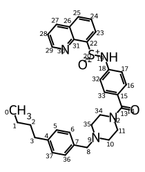 CCCCc1ccc(CN2CCN(C(=O)c3ccc(N[S+]([O-])c4cccc5cccnc45)cc3)CC2)cc1